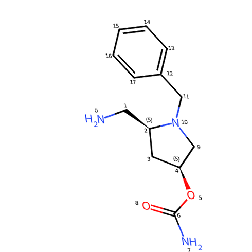 NC[C@@H]1C[C@H](OC(N)=O)CN1Cc1ccccc1